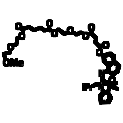 COCCOCCOC(=O)CCCCC(=O)OCCOCCOC(=O)CCC(=O)Oc1ccc2ccc3c(c2c1)N=CC1(O3)N(CC(C)C)c2ccccc2C1(C)C